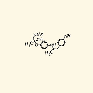 C=C(Cc1ccc(CCC)cc1)Nc1ccc(OC(C)(C)CNC)cc1